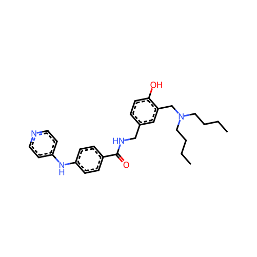 CCCCN(CCCC)Cc1cc(CNC(=O)c2ccc(Nc3ccncc3)cc2)ccc1O